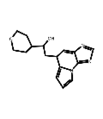 OC(CC1C=C2N=CN=C2n2cccc21)C1CCOCC1